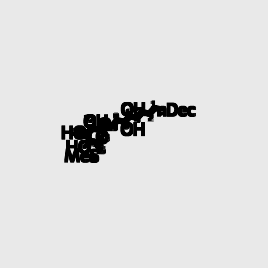 CCCCCCCCCCCCCC[C@@H](O)[C@@H](O)CCO[C@H]1OC(CSC)[C@H](O)C(O)C1O